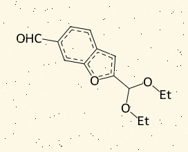 CCOC(OCC)c1cc2ccc(C=O)cc2o1